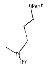 CCCCCCCCN(C)C(C)C